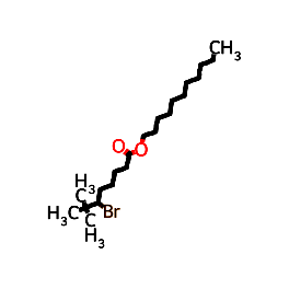 CCCCCCCCCCCOC(=O)CCCCC(Br)C(C)(C)C